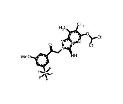 CCC(CC)Oc1nn2c(=N)n(CC(=O)c3cc(OC)cc(S(F)(F)(F)(F)F)c3)nc2c(C)c1C